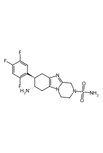 N[C@H]1Cc2c(nc3n2CCN(S(N)(=O)=O)C3)C[C@@H]1c1cc(F)c(F)cc1F